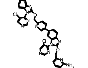 Nc1cccc(COc2nc3ccc(-c4ccc(COc5nc6ccccc6n5-c5ncncc5Cl)nc4)cc3n2-c2ncncc2Cl)n1